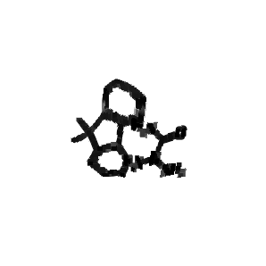 CC1(C)c2ccccc2-c2ccccc21.NC(=O)N(N)N